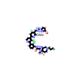 COc1nc(-c2ccnc(-c3cccc(NC(=O)c4nc5c(n4C)CCN(CCCF)C5)c3Cl)c2Cl)cc(F)c1CNC[C@@H]1CCC(=O)N1